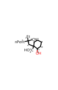 CCCCCC(C#N)(CC)CC1(C(=O)O)CCCCC1O